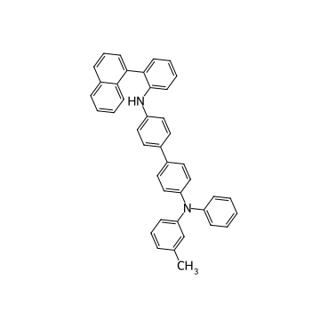 Cc1cccc(N(c2ccccc2)c2ccc(-c3ccc(Nc4ccccc4-c4cccc5ccccc45)cc3)cc2)c1